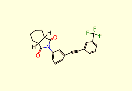 O=C1[C@H]2CCCC[C@H]2C(=O)N1c1cccc(C#Cc2cccc(C(F)(F)F)c2)c1